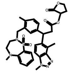 Cc1ccc(C(CC(=O)OC2CCOC2=O)c2ccc3c(nnn3C)c2C)cc1CN1CCN(C)c2ccccc2S1(=O)=O